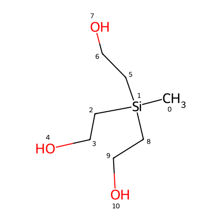 C[Si](CCO)(CCO)CCO